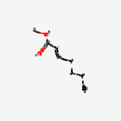 COC(=O)C=CCC[CH2][Zn]